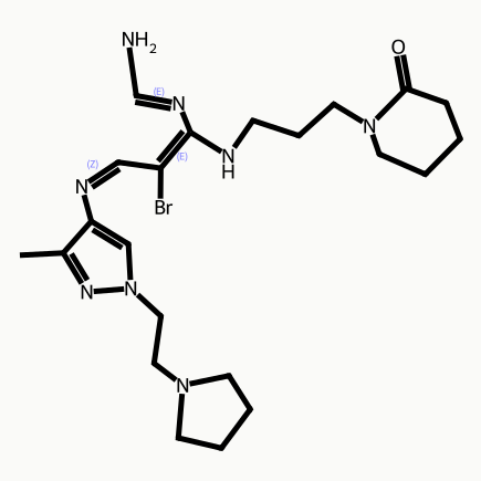 Cc1nn(CCN2CCCC2)cc1\N=C/C(Br)=C(\N=C\N)NCCCN1CCCCC1=O